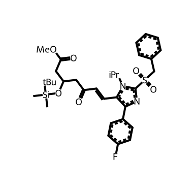 COC(=O)CC(CC(=O)C=Cc1c(-c2ccc(F)cc2)nc(S(=O)(=O)Cc2ccccc2)n1C(C)C)O[Si](C)(C)C(C)(C)C